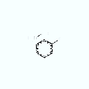 CCCN.Fc1ccccc1